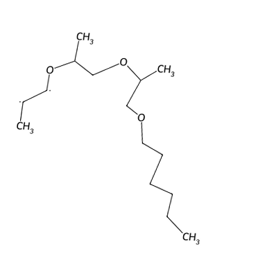 C[CH][CH]OC(C)COC(C)COCCCCCC